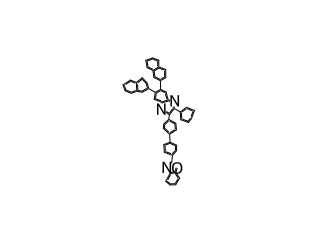 c1ccc(-c2nc3cc(-c4ccc5ccccc5c4)c(-c4ccc5ccccc5c4)cc3nc2-c2ccc(-c3ccc(-c4nc5ccccc5o4)cc3)cc2)cc1